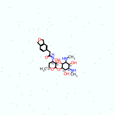 CNC1C2O[C@]3(O)C(OC2[C@@H](O)[C@H](NC)[C@@H]1O)O[C@H](C)C[C@H]3NC(=O)Cc1ccc2c(c1)COC2